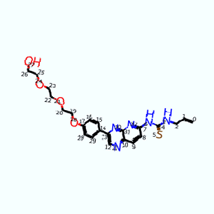 C=CCNC(=S)Nc1ccc2ncc(-c3ccc(OCCOCCOCCO)cc3)nc2n1